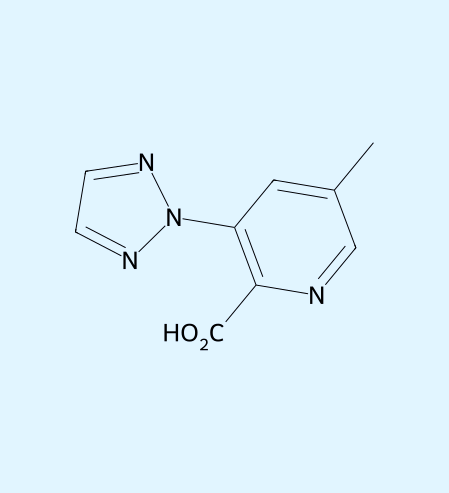 Cc1cnc(C(=O)O)c(-n2nccn2)c1